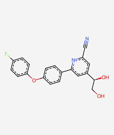 N#Cc1cc([C@@H](O)CO)cc(-c2ccc(Oc3ccc(F)cc3)cc2)n1